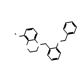 O=C(O)Oc1cccc2c1OCCN2Cc1ccccc1OCc1ccccc1